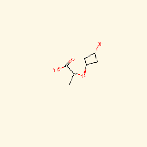 CC(O[C@H]1C[C@H](O)C1)C(=O)O